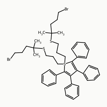 CC(C)(CCCBr)SCCCS1(CCCSC(C)(C)CCCBr)C(c2ccccc2)=C(c2ccccc2)C(c2ccccc2)=C1c1ccccc1